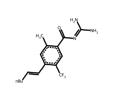 CCCCC=Cc1cc(C)c(C(=O)N=C(N)N)cc1C(F)(F)F